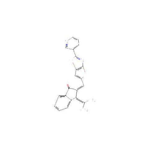 N#CC(C#N)=C1/C(=C/c2cc3oc(-c4cccnc4)nc3o2)C(=O)c2ccccc21